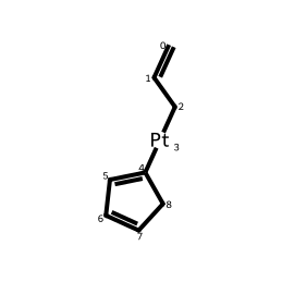 C=C[CH2][Pt][C]1=CC=CC1